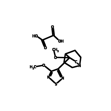 COc1nsnc1C1(OC)CN2CCC1CC2.O=C(O)C(=O)O